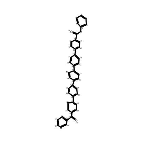 O=C(Cc1ccccc1)c1ccc(-c2ccc(-c3ccc(-c4ccc(-c5ccc(C(=O)c6ccccc6)cc5)cc4)cc3)cc2)cc1